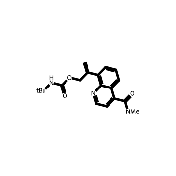 C=C(COC(=O)NC(C)(C)C)c1cccc2c(C(=O)NC)ccnc12